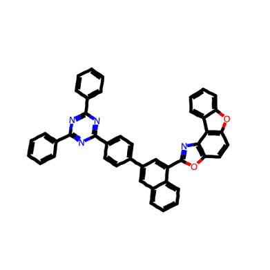 c1ccc(-c2nc(-c3ccccc3)nc(-c3ccc(-c4cc(-c5nc6c(ccc7oc8ccccc8c76)o5)c5ccccc5c4)cc3)n2)cc1